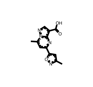 Cc1cc(-c2cc(C)n3ncc(C(=O)O)c3n2)on1